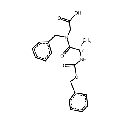 C[C@H](NC(=O)OCc1ccccc1)C(=O)N(CC(=O)O)Cc1ccccc1